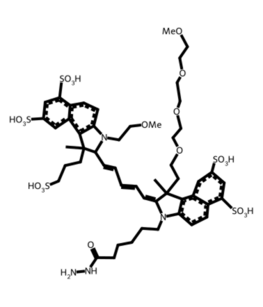 COCCOCCOCCOCCC1(C)\C(=C/C=C/C=C/C2N(CCOC)c3ccc4c(S(=O)(=O)O)cc(S(=O)(=O)O)cc4c3C2(C)CCCS(=O)(=O)O)N(CCCCCC(=O)NN)c2ccc3c(S(=O)(=O)O)cc(S(=O)(=O)O)cc3c21